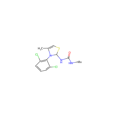 CCCCNC(=O)NC1SC=C(C)N1c1c(Cl)cccc1Cl